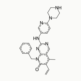 C=Cc1c(C)c2cnc(Nc3ccc(N4CCNCC4)nc3)nc2n(Cc2ccccc2)c1=O